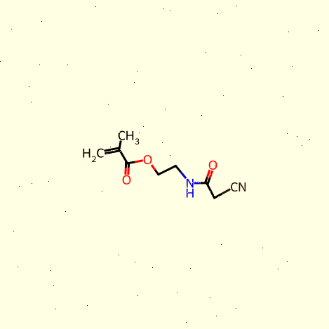 C=C(C)C(=O)OCCNC(=O)CC#N